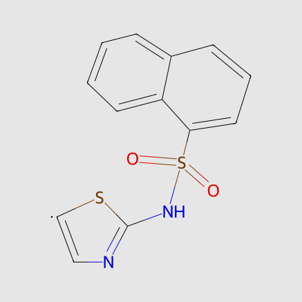 O=S(=O)(Nc1nc[c]s1)c1cccc2ccccc12